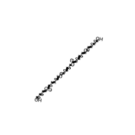 O=C(CSCCSCCOOCSCCSCOC(=O)CSCCSCCOOCCSCSCO)OCCSCSCO